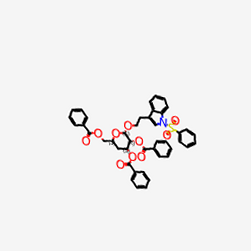 O=C(OC[C@@H]1C[C@H](OC(=O)c2ccccc2)[C@@H](OC(=O)c2ccccc2)[C@@H](OCCc2cn(S(=O)(=O)c3ccccc3)c3ccccc23)O1)c1ccccc1